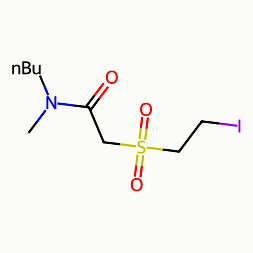 CCCCN(C)C(=O)CS(=O)(=O)CCI